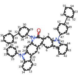 O=c1c2cc3c(cc2c2cc4c5ccccc5n(-c5ccccc5)c4cc2n1-c1cccc(-c2ccccc2)c1)c1ccccc1n3-c1ccc(-c2ccccc2)cc1